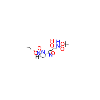 CCCCON1C(=O)N2C[C@@H]1CC[C@H]2c1cc([C@H](O)CNC(=O)OC(C)(C)C)on1